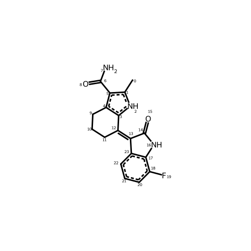 Cc1[nH]c2c(c1C(N)=O)CCC/C2=C1/C(=O)Nc2c(F)cccc21